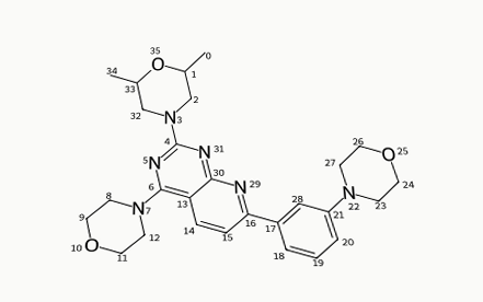 CC1CN(c2nc(N3CCOCC3)c3ccc(-c4cccc(N5CCOCC5)c4)nc3n2)CC(C)O1